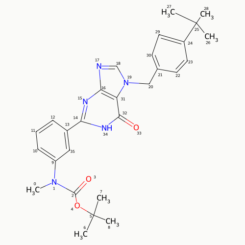 CN(C(=O)OC(C)(C)C)c1cccc(-c2nc3ncn(Cc4ccc(C(C)(C)C)cc4)c3c(=O)[nH]2)c1